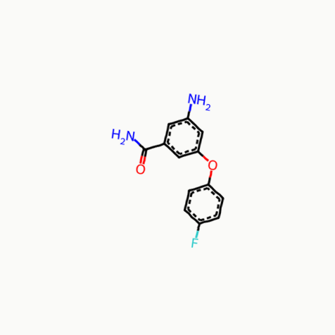 NC(=O)c1cc(N)cc(Oc2ccc(F)cc2)c1